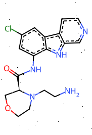 NCCN1CCOC[C@H]1C(=O)Nc1cc(Cl)cc2c1[nH]c1cnccc12